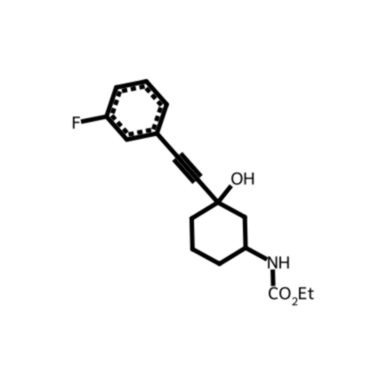 CCOC(=O)NC1CCCC(O)(C#Cc2cccc(F)c2)C1